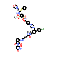 CC1(CNC(=O)CCCCCNc2cccc3c2C(=O)N(C2CCC(=O)NC2=O)C3=O)CCC(c2ccc(Cl)cc2)=C(CN2CCN(c3ccc(C(=O)NS(=O)(=O)c4ccc(N[C@H](CCN5CCOCC5)CSc5ccccc5)c(S(=O)(=O)C(F)(F)F)c4)cc3)CC2)C1